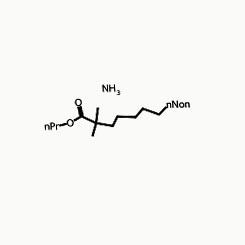 CCCCCCCCCCCCCCC(C)(C)C(=O)OCCC.N